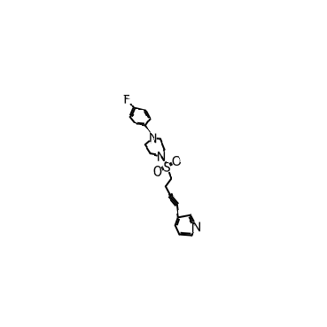 O=S(=O)(CCC#Cc1cccnc1)N1CCN(c2ccc(F)cc2)CC1